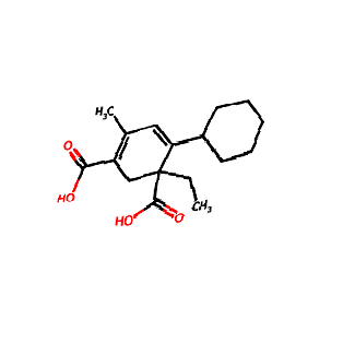 CCC1(C(=O)O)CC(C(=O)O)=C(C)C=C1C1CCCCC1